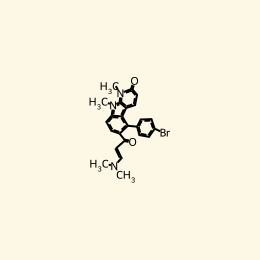 CN(C)C=CC(=O)c1ccc2c(c1-c1ccc(Br)cc1)c1ccc(=O)n(C)c1n2C